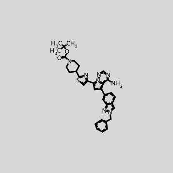 CC(C)(C)OC(=O)N1CCC(c2nc(-c3cc(-c4ccc5cn(Cc6ccccc6)nc5c4)c4c(N)ncnn34)cs2)CC1